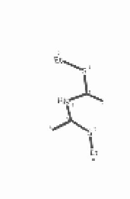 CCSC(C)NC(C)SCC